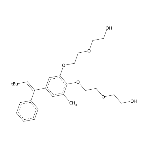 Cc1cc(C(=CC(C)(C)C)c2ccccc2)cc(OCCOCCO)c1OCCOCCO